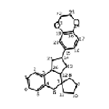 c1ccc2c(c1)CC1(CCCC1)C1CC(c3ccc4c(c3)OCCO4)CC21